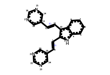 C(=C\c1[nH]c2ccccc2c1/C=C/c1cncnc1)/c1cncnc1